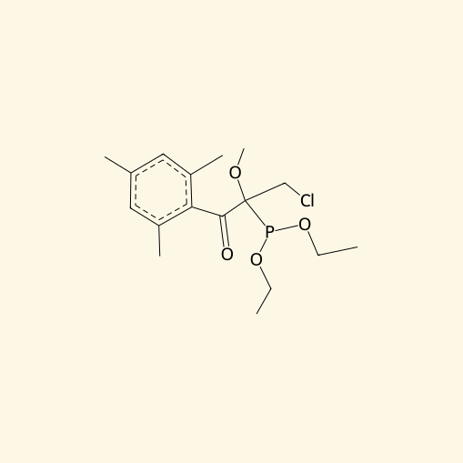 CCOP(OCC)C(CCl)(OC)C(=O)c1c(C)cc(C)cc1C